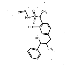 CC(Cc1ccc(N(C)S(=O)(=O)NC=O)c(O)c1)C(O)c1ccccc1